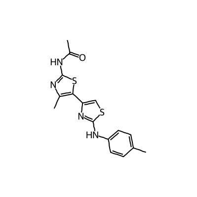 CC(=O)Nc1nc(C)c(-c2csc(Nc3ccc(C)cc3)n2)s1